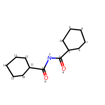 O=C([N]C(=O)C1CCCCC1)C1CCCCC1